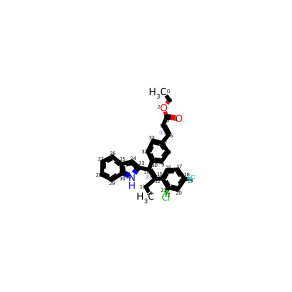 CCOC(=O)/C=C/c1ccc(/C(=C(/CC)c2ccc(F)cc2Cl)c2cc3ccccc3[nH]2)cc1